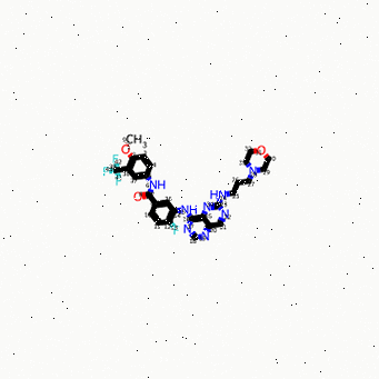 COc1ccc(NC(=O)c2ccc(F)c(Nc3ncnc4cnc(NCCCN5CCOCC5)nc34)c2)cc1C(F)(F)F